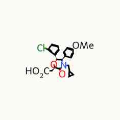 COc1ccc([C@@H]2[C@@H](c3cccc(Cl)c3)O[C@H](CC(=O)O)C(=O)N2CC2CC2)cc1